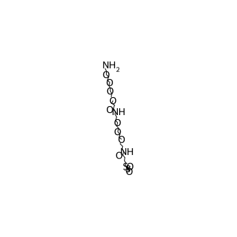 CS(=O)(=O)SCCCC(=O)NCCCOCCOCCOCCCNC(=O)CCOCCOCCOCCOCCN